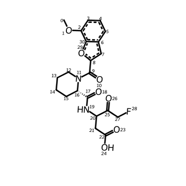 COc1cccc2cc(C(=O)N3CCCC[C@H]3C(=O)NC(CC(=O)O)C(=O)CF)oc12